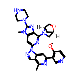 COc1ccncc1-c1cc2c(cnn2-c2cc3c(nc(N4CCNCC4)n3C)c(N3C[C@H]4C[C@@H]3CO4)n2)c(C)n1